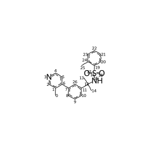 Cc1cnccc1-c1cccc(C(C)(C)NS(=O)(=O)c2ccccc2C)c1